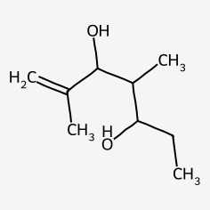 C=C(C)C(O)C(C)C(O)CC